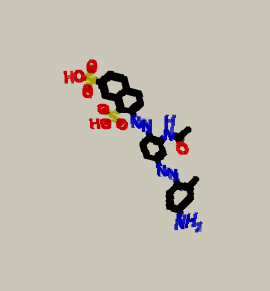 CC(=O)Nc1cc(/N=N/c2ccc(N)cc2C)ccc1/N=N/c1ccc2ccc(S(=O)(=O)O)cc2c1S(=O)(=O)O